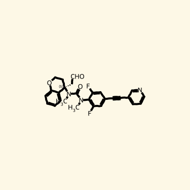 CN(C(=O)N(C)[C@]1(CC=O)CCOc2ccccc21)c1c(F)cc(C#Cc2cccnc2)cc1F